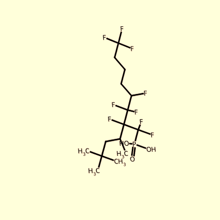 CC(CC(C)(C)C)C(F)(C(F)(F)C(F)CCCC(F)(F)F)C(F)(F)P(=O)(O)O